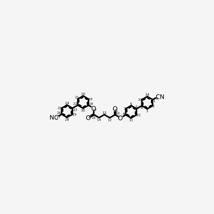 N#Cc1ccc(-c2ccc(OC(=O)CCCC(=O)Oc3cccc(-c4ccc(C#N)cc4)c3)cc2)cc1